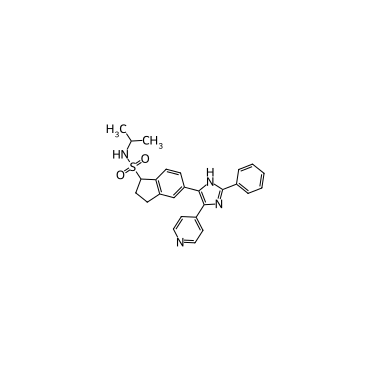 CC(C)NS(=O)(=O)C1CCc2cc(-c3[nH]c(-c4ccccc4)nc3-c3ccncc3)ccc21